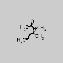 BC(=O)N(C)[C@@H](C)CC=C